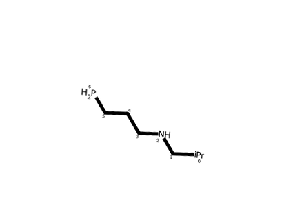 CC(C)CNCCCP